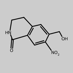 O=C1NCCc2cc(CO)c([N+](=O)[O-])cc21